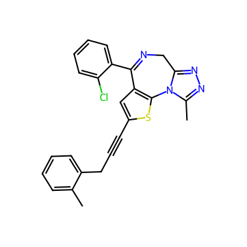 Cc1ccccc1CC#Cc1cc2c(s1)-n1c(C)nnc1CN=C2c1ccccc1Cl